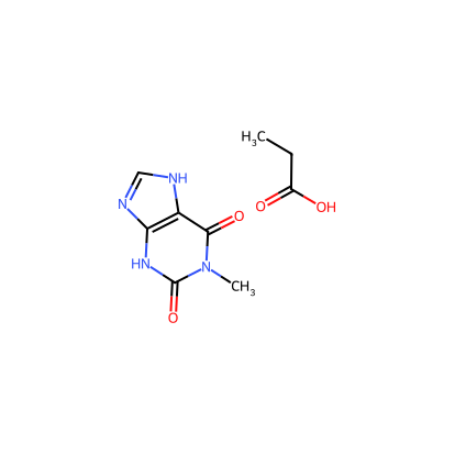 CCC(=O)O.Cn1c(=O)[nH]c2nc[nH]c2c1=O